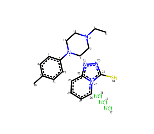 CCN1CCN(c2ccc(C)cc2)CC1.Cl.Cl.Cl.Sc1nnc2ccccn12